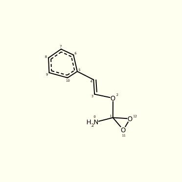 NC1(OC=Cc2ccccc2)OO1